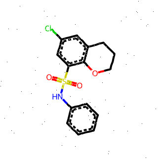 O=S(=O)(Nc1ccccc1)c1cc(Cl)cc2c1OCCC2